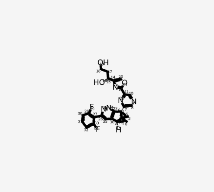 CC1(C)[C@H]2CC[C@]1(c1cncc(-c3nc([C@H](O)CCO)co3)n1)c1nnc(-c3c(F)cccc3F)cc12